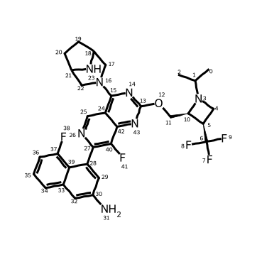 CC(C)N1C[C@@H](C(F)(F)F)[C@H]1COc1nc(N2CC3CCC(C2)N3)c2cnc(-c3cc(N)cc4cccc(F)c34)c(F)c2n1